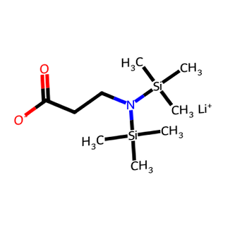 C[Si](C)(C)N(CCC(=O)[O-])[Si](C)(C)C.[Li+]